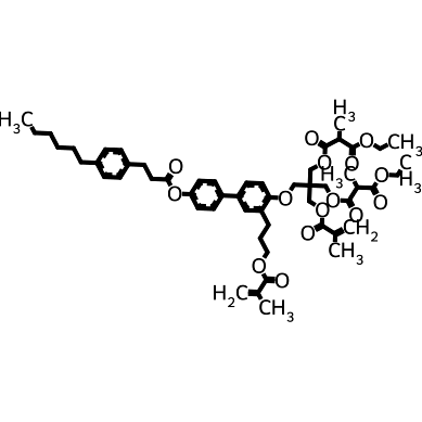 C=C(C)C(=O)OCCCc1cc(-c2ccc(OC(=O)CCc3ccc(CCCCCC)cc3)cc2)ccc1OCC(COC(=O)C(=C)C)(COC(=O)C(C)C(=O)OCC)COC(=O)C(C)C(=O)OCC